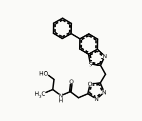 CC(CO)NC(=O)Cc1nnc(Cc2nc3ccc(-c4ccccc4)cc3s2)o1